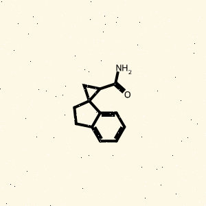 NC(=O)C1CC12CCc1ccccc12